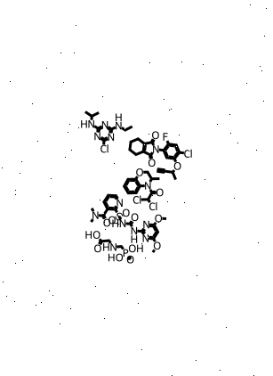 C#CC(C)Oc1cc(N2C(=O)C3=C(CCCC3)C2=O)c(F)cc1Cl.CC1COc2ccccc2N1C(=O)C(Cl)Cl.CCNc1nc(Cl)nc(NC(C)C)n1.COc1cc(OC)nc(NC(=O)NS(=O)(=O)c2ncccc2C(=O)N(C)C)n1.O=C(O)CNCP(=O)(O)O